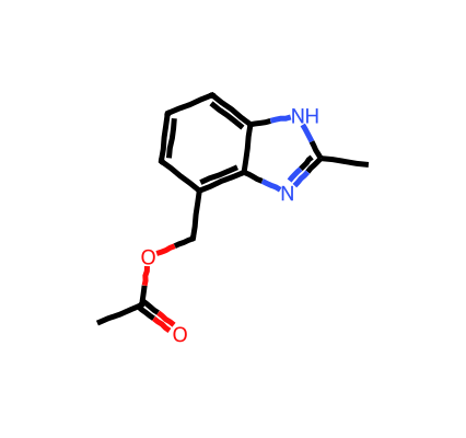 CC(=O)OCc1cccc2[nH]c(C)nc12